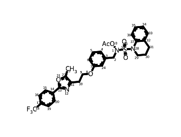 CC(=O)ON(Cc1cccc(OCCc2nc(-c3ccc(C(F)(F)F)cc3)oc2C)c1)S(=O)(=O)N1CCCc2ccccc21